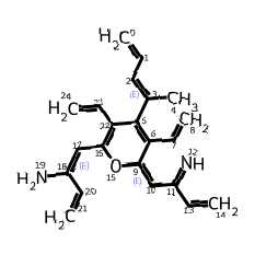 C=C/C=C(\C)C1=C(C=C)/C(=C\C(=N)C=C)OC(/C=C(/N)C=C)=C1C=C